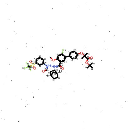 COc1cc(F)c(-c2ccc(OC(C)(C)C(=O)OC(C)(C)C)cc2)cc1C(=O)N[C@@H]1[C@H]2CC[C@H](C2)[C@@H]1C(=O)Nc1cccc(S(=O)(=O)C(F)(F)F)c1